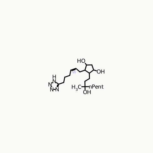 CCCCCC(C)(O)CCC1C(O)CC(O)C1C/C=C\CCCc1nnn[nH]1